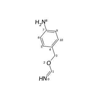 N=COCc1ccc(N)cc1